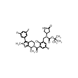 CC1c2nn(C)c(-c3cc(F)cc(F)c3)c2CCN1C(=O)c1cc(F)cc(CN(C(=O)OC(C)(C)C)C2CNC(=O)C2)c1Cl